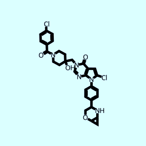 O=C(c1ccc(Cl)cc1)N1CCC(O)(Cn2cnc3c(cc(Cl)n3-c3ccc(C4COC5CC5N4)cc3)c2=O)CC1